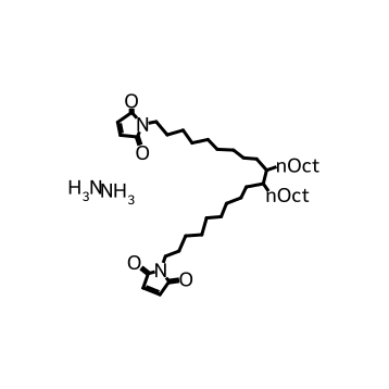 CCCCCCCCC(CCCCCCCCCN1C(=O)C=CC1=O)C(CCCCCCCC)CCCCCCCCCN1C(=O)C=CC1=O.N.N